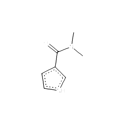 CN(C)C(=O)c1cc[nH]c1